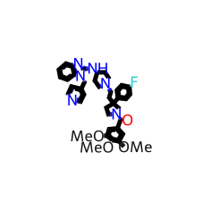 COc1cc(C(=O)N2CCC(CCN3CCC(Nc4nc5ccccc5n4Cc4ccncc4)CC3)(c3ccc(F)cc3)C2)cc(OC)c1OC